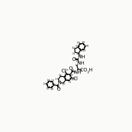 O=C(NCC(NC(=O)c1c(Cl)cc2c(c1Cl)CCN(C(=O)c1ccccc1)C2)C(=O)O)NC1CCc2ccccc21